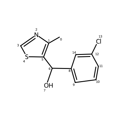 Cc1ncsc1C(O)c1cccc(Cl)c1